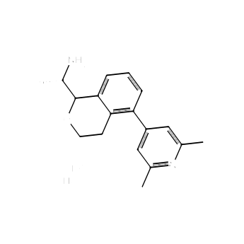 Cc1cc(-c2cccc3c2CCOC3[C@H](C)N)cc(C)n1.Cl.Cl